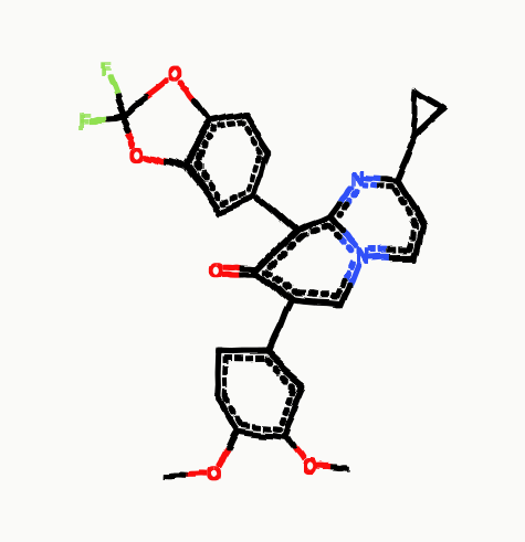 COc1ccc(-c2cn3ccc(C4CC4)nc3c(-c3ccc4c(c3)OC(F)(F)O4)c2=O)cc1OC